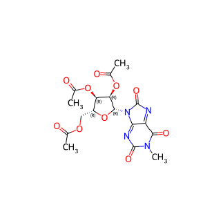 CC(=O)OC[C@H]1O[C@@H](N2C(=O)N=C3C(=O)N(C)C(=O)N=C32)[C@H](OC(C)=O)[C@@H]1OC(C)=O